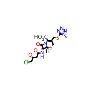 Cn1nnnc1SCC1=C(C(=O)O)N2C(=O)[C@@H](NC(=O)CC(=O)CCl)[C@@H]2SC1